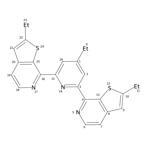 CCc1cc(-c2nccc3cc(CC)sc23)nc(-c2nccc3cc(CC)sc23)c1